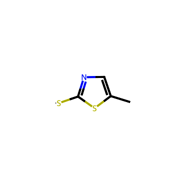 Cc1cnc([S])s1